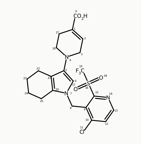 O=C(O)C1=CCN(c2cn(Cc3c(Cl)ccnc3S(=O)(=O)C(F)(F)F)c3c2CCCC3)CC1